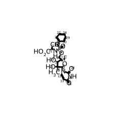 C[C@@H](N[P@](=O)(OC[C@@]1(F)O[C@@H](n2ccc(=O)[nH]c2=O)[C@](C)(O)[C@@H]1O)Oc1ccccc1)C(=O)O